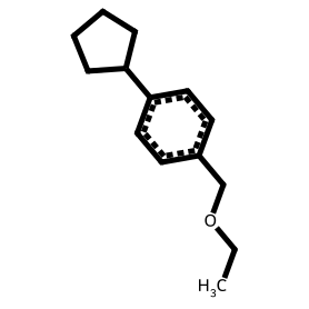 CCOCc1ccc(C2CCCC2)cc1